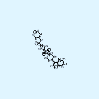 O=C(CC1CCOCC1)N1CC(S(=O)(=O)N2CCC(c3coc4cccnc34)CC2)C1